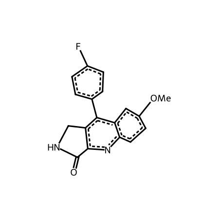 COc1ccc2nc3c(c(-c4ccc(F)cc4)c2c1)CNC3=O